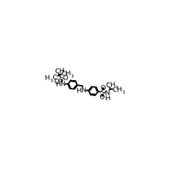 CC(C)NS(=O)(=O)c1ccc(NCc2ccc(NS(=O)(=O)C(C)(C)C)cc2)cc1